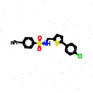 CCCc1ccc(S(=O)(=O)NCc2ccc(-c3ccc(Cl)cc3)s2)cc1